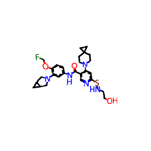 O=C(Nc1ccc(OCF)c(N2CC3CC3C2)c1)c1cnc(SNCCO)cc1N1CCC2(CC1)CC2